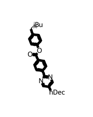 CCCCCCCCCCc1cnc(-c2ccc(C(=O)Oc3ccc(C[C@@H](C)CC)cc3)cc2)nc1